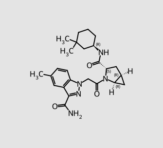 Cc1ccc2c(c1)c(C(N)=O)nn2CC(=O)N1[C@@H]2C[C@@H]2C[C@H]1C(=O)N[C@@H]1CCCC(C)(C)C1